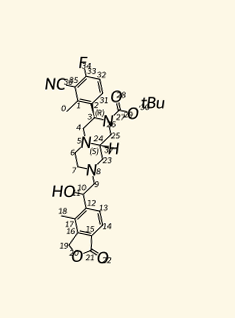 Cc1c([C@@H]2CN3CCN(CC(O)c4ccc5c(c4C)COC5=O)C[C@H]3CN2C(=O)OC(C)(C)C)ccc(F)c1C#N